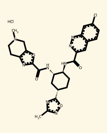 Cc1noc([C@H]2CC[C@H](NC(=O)c3cc4ccc(Cl)cc4nn3)[C@@H](NC(=O)c3nc4c(s3)CN(C)CC4)C2)n1.Cl